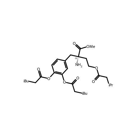 CCC(C)CC(=O)Oc1ccc(C[C@](N)(CCOC(=O)CC(C)C)C(=O)OC)cc1OC(=O)CC(C)CC